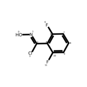 O/N=C(\Cl)c1c(F)cccc1F